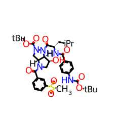 CC(C)C[C@H](NC(=O)c1ccc(NC(=O)OC(C)(C)C)cc1)C(=O)N1[C@@H]2[C@@H](CN1C(=O)OC(C)(C)C)N(C(=O)c1cccc(S(C)(=O)=O)c1)C[C@@H]2O